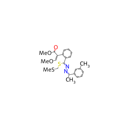 COC=C(C(=O)OC)c1ccccc1C(=NN=C(C)c1cccc(C)c1)SCSC